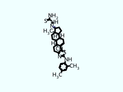 Cc1ccc(Nc2nc3c(s2)C2=CC[C@@H]4[C@H](CC[C@]5(C)/C(=N/NC(N)=S)CC[C@@H]45)[C@@]2(C)CC3)c(C)c1